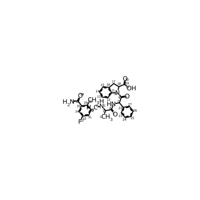 CNC(C)C(=O)NC(C(=O)N1c2ccccc2CC1C(=O)O)c1ccccc1.Cc1ccc(F)cc1C(N)=O